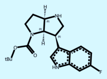 CC(C)(C)OC(=O)N1CC[C@H]2NC[C@@H](c3c[nH]c4cc(F)ccc34)[C@H]21